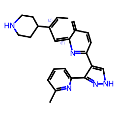 C=c1ccc(-c2c[nH]nc2-c2cccc(C)n2)n/c1=C/C(=C\C)C1CCNCC1